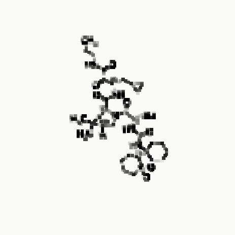 C=CCNC(=O)C(=O)[C@H](CC1CC1)NC(=O)[C@@H]1C2[C@H](CN1C(=O)[C@@H](NC(=O)NC1([C@H]3CCCCS3(=O)=O)CCCCC1)C(C)(C)C)C2(C)C